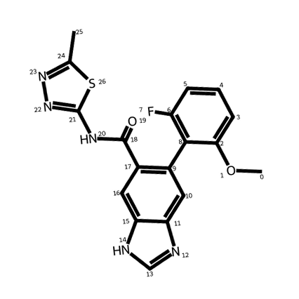 COc1cccc(F)c1-c1cc2nc[nH]c2cc1C(=O)Nc1nnc(C)s1